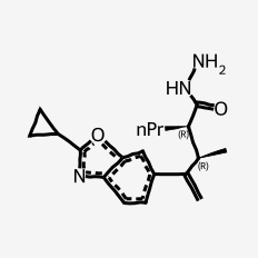 C=C(c1ccc2nc(C3CC3)oc2c1)[C@H](C)[C@@H](CCC)C(=O)NN